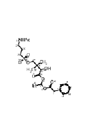 CCC(OC(=O)Cc1ccccc1)OC(=O)[C@H](O)C(C)(C)COS(=O)(=O)CCCNC(C)=O